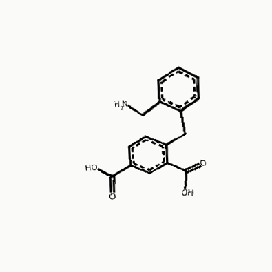 NCc1ccccc1Cc1ccc(C(=O)O)cc1C(=O)O